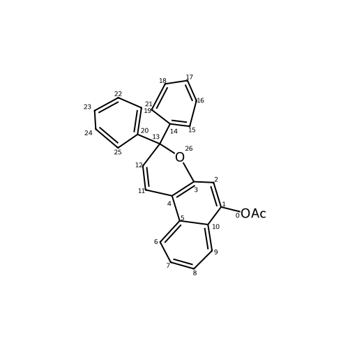 CC(=O)Oc1cc2c(c3ccccc13)C=CC(c1ccccc1)(c1ccccc1)O2